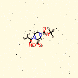 CC(C)C(=O)N1[C@H](C)CN(C(=O)OC(C)(C)C)C[C@@H]1C(=O)O